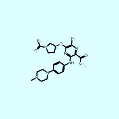 CCC(=O)N1CC[C@H](Oc2nc(Nc3ccc(N4CCN(C)CC4)cc3)c(C(N)=O)nc2CC)C1